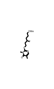 COCCCC(F)CCSc1ncc(C)c(=O)n1C